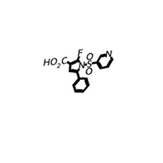 O=C(O)c1cc(-c2ccccc2)n(S(=O)(=O)c2cccnc2)c1F